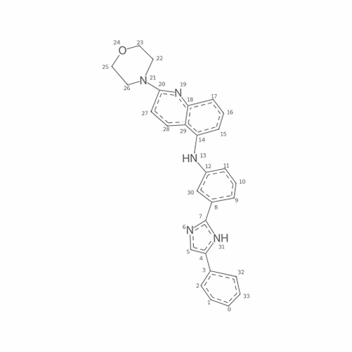 c1ccc(-c2cnc(-c3cccc(Nc4cccc5nc(N6CCOCC6)ccc45)c3)[nH]2)cc1